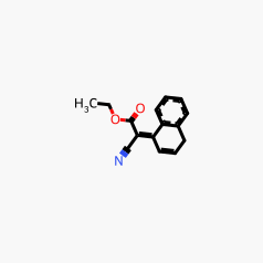 CCOC(=O)C(C#N)=C1C=CCc2ccccc21